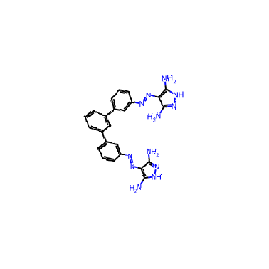 Nc1n[nH]c(N)c1/N=N/c1cccc(-c2cccc(-c3cccc(/N=N/c4c(N)n[nH]c4N)c3)c2)c1